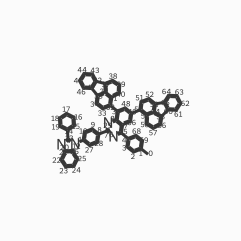 Cc1ccc(-c2nc(-c3ccc(-n4c(-c5ccccc5)nc5ccccc54)cc3)nc3c(-c4ccc5c6c(cccc46)-c4ccccc4-5)cc(-c4ccc5c6c(cccc46)-c4ccccc4-5)cc23)cc1